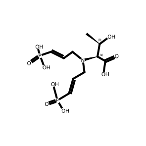 C[C@@H](O)[C@@H](C(=O)O)N(CC=CP(=O)(O)O)CC=CP(=O)(O)O